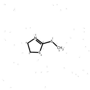 [CH2]SC1=NCCS1